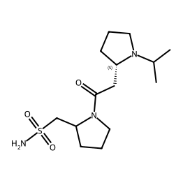 CC(C)N1CCC[C@H]1CC(=O)N1CCCC1CS(N)(=O)=O